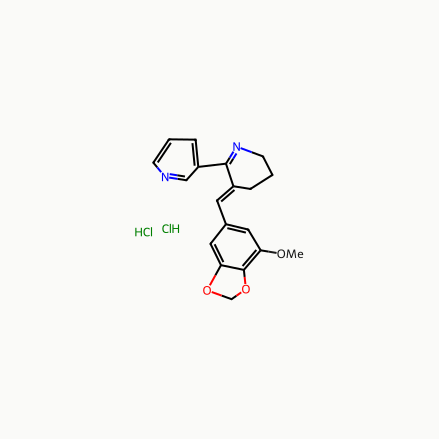 COc1cc(C=C2CCCN=C2c2cccnc2)cc2c1OCO2.Cl.Cl